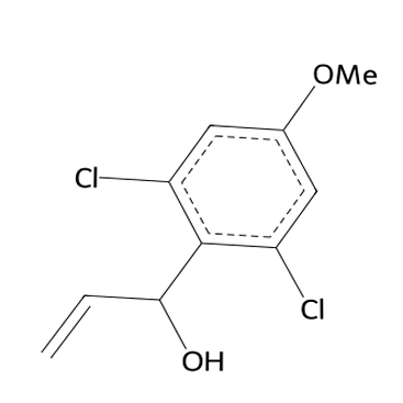 C=CC(O)c1c(Cl)cc(OC)cc1Cl